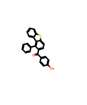 O=C(c1ccc(O)cc1)c1ccc2sc3ccccc3c2c1-c1ccccc1